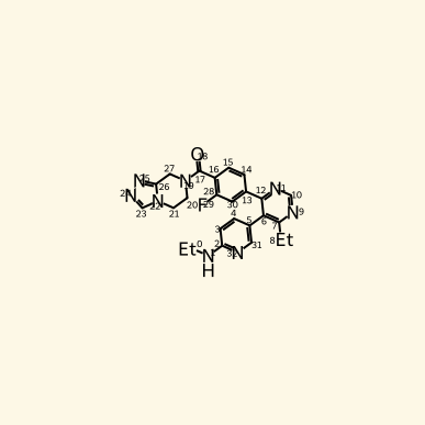 CCNc1ccc(-c2c(CC)ncnc2-c2ccc(C(=O)N3CCn4cnnc4C3)c(F)c2)cn1